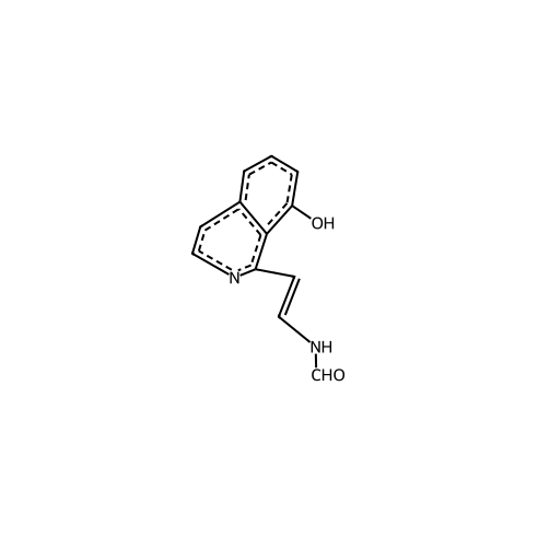 O=CNC=Cc1nccc2cccc(O)c12